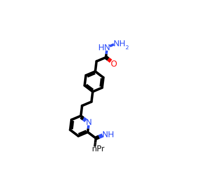 CCCC(=N)c1cccc(CCc2ccc(CC(=O)NN)cc2)n1